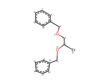 CCC(COCc1ccccc1)OCc1ccccc1